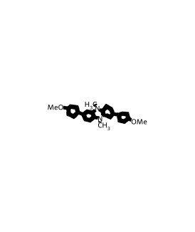 COc1ccc(-c2ccc3c(c2)N(C)c2ccc(-c4ccc(OC)cc4)cc2N3C)cc1